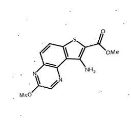 COC(=O)c1sc2ccc3nc(OC)cnc3c2c1N